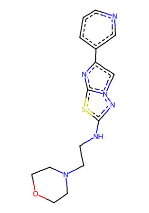 c1cncc(-c2cn3nc(NCCN4CCOCC4)sc3n2)c1